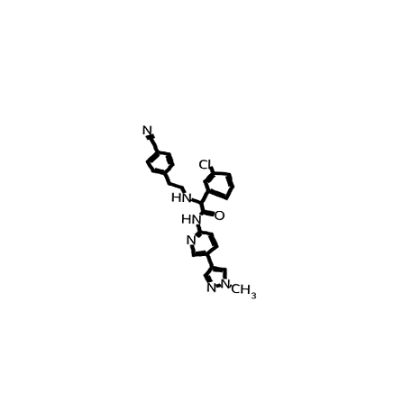 Cn1cc(-c2ccc(NC(=O)C(NCCc3ccc(C#N)cc3)c3cccc(Cl)c3)nc2)cn1